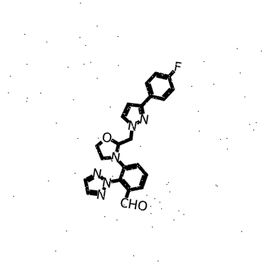 O=Cc1cccc(N2CCOC2Cn2ccc(-c3ccc(F)cc3)n2)c1-n1nccn1